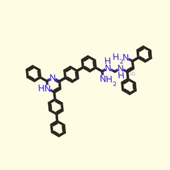 NC(/C=C(\NCNC(N)c1cccc(-c2ccc(C3=NC(c4ccccc4)NC(c4ccc(-c5ccccc5)cc4)=C3)cc2)c1)c1ccccc1)c1ccccc1